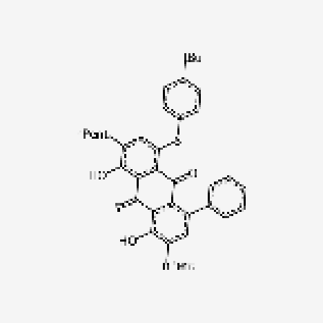 CCCCCc1cc(Sc2ccc(C(C)(C)C)cc2)c2c(c1O)C(=S)c1c(O)c(CCCCC)cc(-c3ccccc3)c1C2=O